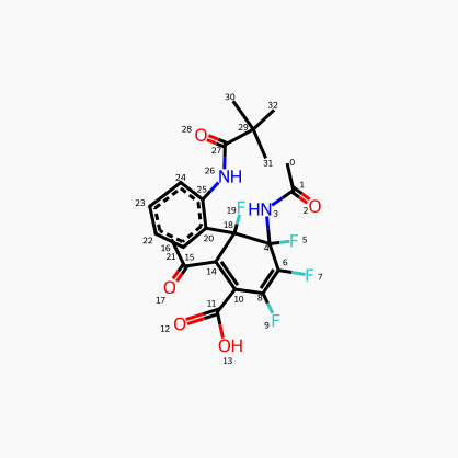 CC(=O)NC1(F)C(F)=C(F)C(C(=O)O)=C(C(C)=O)C1(F)c1ccccc1NC(=O)C(C)(C)C